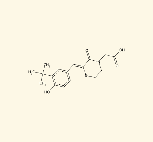 CC(C)(C)c1cc(C=C2SCCN(CC(=O)O)C2=O)ccc1O